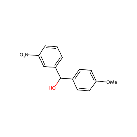 COc1ccc(C(O)c2cccc([N+](=O)[O-])c2)cc1